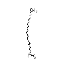 CCCCCC=CCC=CCCCCCCCCCCC